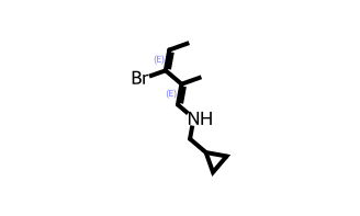 C/C=C(Br)\C(C)=C\NCC1CC1